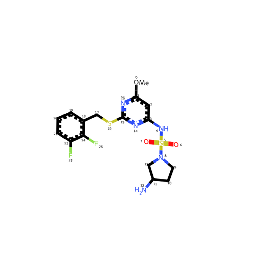 COc1cc(NS(=O)(=O)N2CCC(N)C2)nc(SCc2cccc(F)c2F)n1